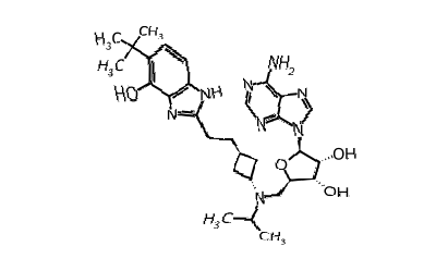 CC(C)N(C[C@H]1O[C@@H](n2cnc3c(N)ncnc32)[C@H](O)[C@@H]1O)[C@H]1C[C@H](CCc2nc3c(O)c(C(C)(C)C)ccc3[nH]2)C1